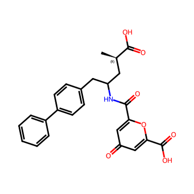 C[C@H](CC(Cc1ccc(-c2ccccc2)cc1)NC(=O)c1cc(=O)cc(C(=O)O)o1)C(=O)O